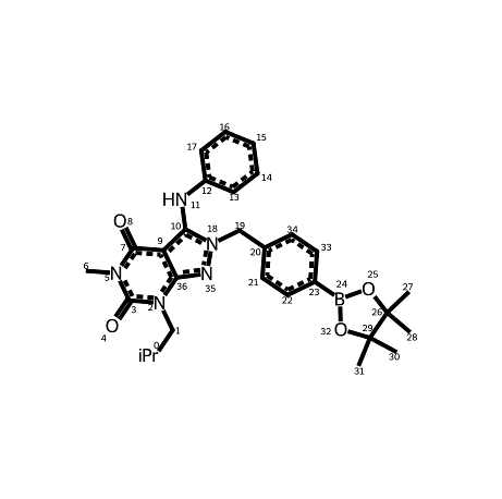 CC(C)Cn1c(=O)n(C)c(=O)c2c(Nc3ccccc3)n(Cc3ccc(B4OC(C)(C)C(C)(C)O4)cc3)nc21